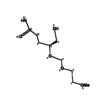 COCCOCO[C@H](CO)CCC([NH])=O